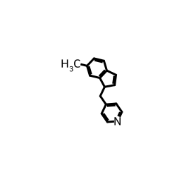 Cc1ccc2c(c1)C(Cc1ccncc1)C=C2